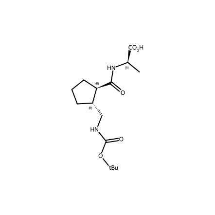 C[C@@H](NC(=O)[C@@H]1CCC[C@H]1CNC(=O)OC(C)(C)C)C(=O)O